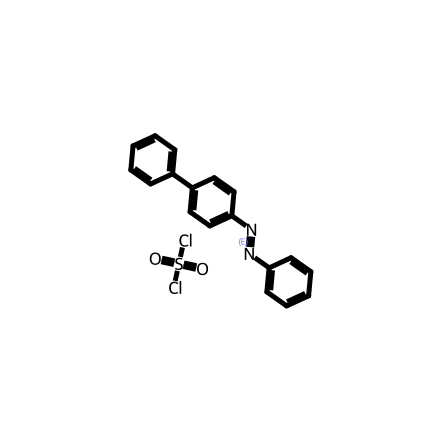 O=S(=O)(Cl)Cl.c1ccc(/N=N/c2ccc(-c3ccccc3)cc2)cc1